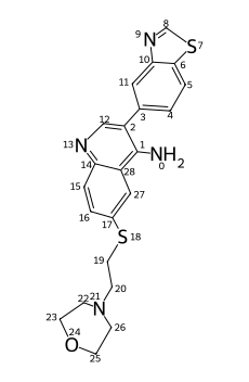 Nc1c(-c2ccc3scnc3c2)cnc2ccc(SCCN3CCOCC3)cc12